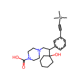 C[Si](C)(C)C#Cc1cccc(C(CN2CCN(C(=O)O)CC2)C2(O)CCCCC2)c1